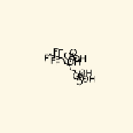 O=P(O)(O)OCCCCC(OP(=O)(O)O)C(F)(F)C(F)(F)CF